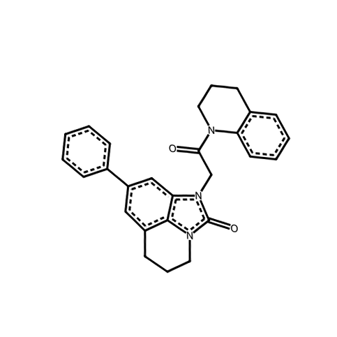 O=C(Cn1c(=O)n2c3c(cc(-c4ccccc4)cc31)CCC2)N1CCCc2ccccc21